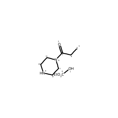 CCOC(=O)O.O=C(CI)N1CCNCC1